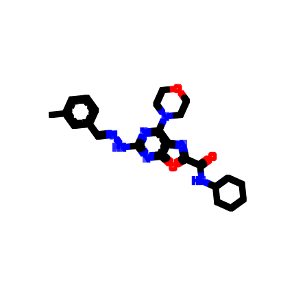 Cc1cccc(/C=N/Nc2nc(N3CCOCC3)c3nc(C(=O)NC4CCCCC4)oc3n2)c1